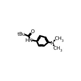 CN(C)c1ccc(NC(=O)C(C)(C)C)cc1